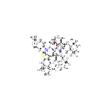 Cc1cc2c3c(c1)N(c1ccc(C(C)(C)C)cc1)c1sc4cc5c(cc4c1B3c1cc3c(cc1N2c1cc2c(cc1-c1ccccc1)C(C)(C)CCC2(C)C)C(C)(C)CCC3(C)C)C1(C)CCC5(C)C1